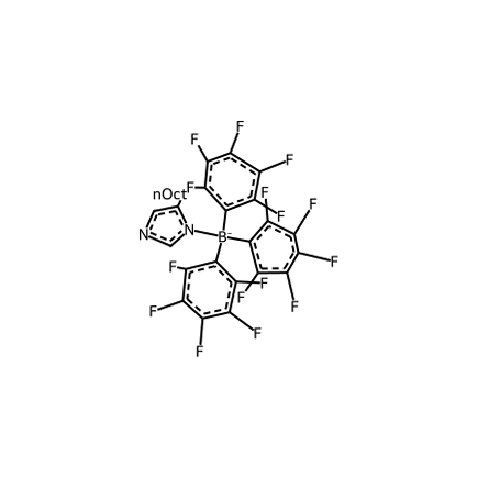 CCCCCCCCc1cncn1[B-](c1c(F)c(F)c(F)c(F)c1F)(c1c(F)c(F)c(F)c(F)c1F)c1c(F)c(F)c(F)c(F)c1F